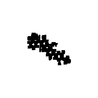 Cc1cc(Nc2ncc(Cl)c(Nc3ccccc3S(=O)(=O)C(C)C)n2)c(OC(C)C)cc1C1=C[C@@H](C)N(C2COC2)[C@H](C)C1